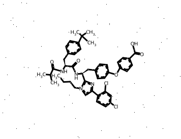 CCCCn1cc(-c2ccc(Cl)cc2Cl)nc1[C@H](Cc1ccc(Oc2ccc(C(=O)O)cc2)cc1)NC(=O)[C@H](Cc1ccc(C(C)(C)C)cc1)NC(=O)C(C)C